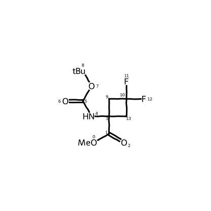 COC(=O)C1(NC(=O)OC(C)(C)C)CC(F)(F)C1